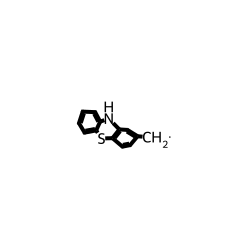 [CH2]c1ccc2c(c1)Nc1ccccc1S2